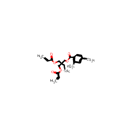 C=CC(=O)OCC(COC(C)=O)(COC(=O)C=C)COC(=O)c1ccc(C(=O)O)cc1C(=O)O